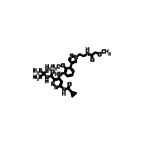 BC(B)(B)NC(=O)c1nnc(NC(=O)C2CC2)cc1Nc1cccc(-c2cnn(CCNC(=O)COC)c2)c1OC